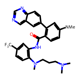 CNc1ccc(C(=O)Nc2cc(C(F)(F)F)ccc2N(C)CCCN(C)C)c(-c2ccc3ncncc3c2)c1